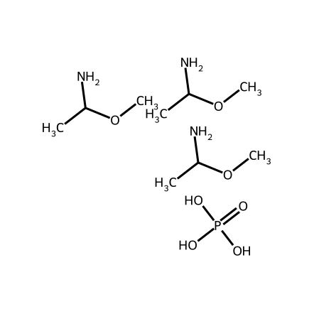 COC(C)N.COC(C)N.COC(C)N.O=P(O)(O)O